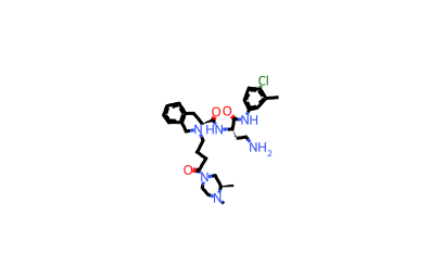 Cc1cc(NC(=O)[C@H](CCN)NC(=O)[C@@H]2Cc3ccccc3CN2CCCC(=O)N2CCN(C)[C@H](C)C2)ccc1Cl